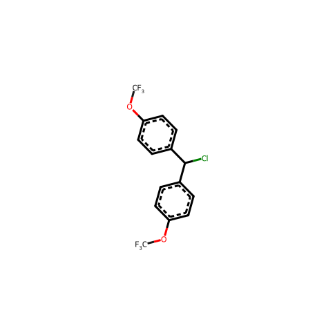 FC(F)(F)Oc1ccc(C(Cl)c2ccc(OC(F)(F)F)cc2)cc1